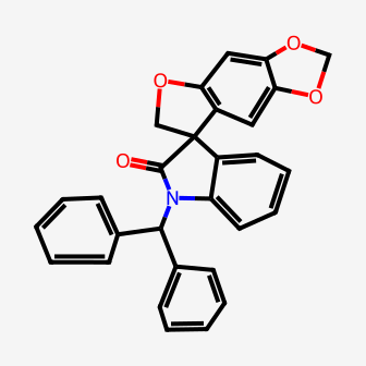 O=C1N(C(c2ccccc2)c2ccccc2)c2ccccc2C12COc1cc3c(cc12)OCO3